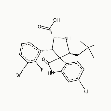 CC(C)(C)C[C@@H]1N[C@@H](C(=O)O)[C@@H](c2cccc(Br)c2F)C12C(=O)Nc1cc(Cl)ccc12